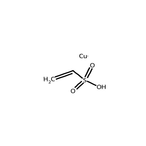 C=CS(=O)(=O)O.[Cu]